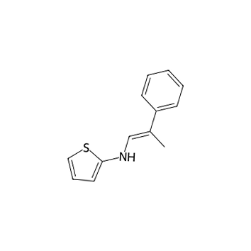 C/C(=C\Nc1cccs1)c1ccccc1